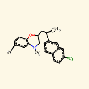 CC(C)c1ccc2c(c1)N(C)CC(CC(C)c1ccc3ccc(Cl)cc3c1)O2